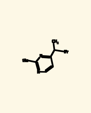 CC(C)C(C)c1ccnc(C(C)(C)C)n1